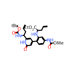 C=CCC(Nc1cc(NC(=O)OC)ccc1-c1cc(C(CC=C)NC(=O)OC(C)(C)C)[nH]c(=O)c1)C(=O)OCC